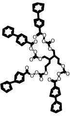 O=C(OCCC(COC(=O)OOC(=O)c1ccc(-c2ccccc2)cc1)C(CCOC(=O)OOC(=O)c1ccc(-c2ccccc2)cc1)COC(=O)OOC(=O)c1ccc(-c2ccccc2)cc1)OOC(=O)c1ccc(-c2ccccc2)cc1